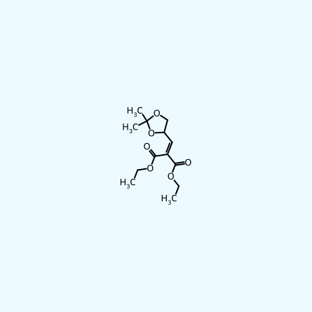 CCOC(=O)C(=CC1COC(C)(C)O1)C(=O)OCC